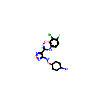 NC1CCC(ONc2nonc2/C(=N/O)Nc2ccc(F)c(Br)c2)CC1